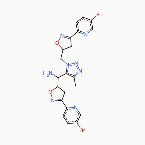 Cc1nnn(CC2CC(c3ccc(Br)cn3)=NO2)c1C(N)C1CC(c2ccc(Br)cn2)=NO1